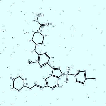 Cc1ccc(S(=O)(=O)n2cc(-c3ccc(OC4CCN(C(=O)OC(C)(C)C)CC4)c(C#N)c3)c3cc(C=CCN4CCOCC4)cnc32)cc1